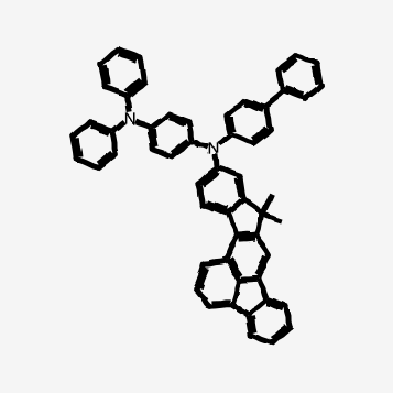 CC1(C)c2cc(N(c3ccc(-c4ccccc4)cc3)c3ccc(N(c4ccccc4)c4ccccc4)cc3)ccc2-c2c1cc1c3c(cccc23)-c2ccccc2-1